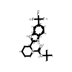 CC(C)(C)OC(=O)N1CCCCC1c1nc2ccc(C(F)(F)F)cc2o1